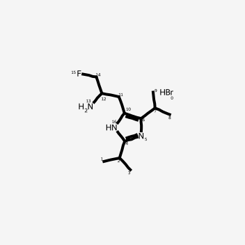 Br.CC(C)c1nc(C(C)C)c(CC(N)CF)[nH]1